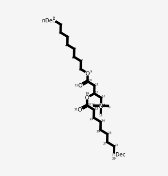 CCCCCCCCCCCCCCCCCCOC(=O)CC(C[N+](C)(C)C)OC(=O)CCCCCCCCCCCCCCCCC